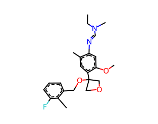 CCN(C)C=Nc1cc(OC)c(C2(OCc3cccc(F)c3C)COC2)cc1C